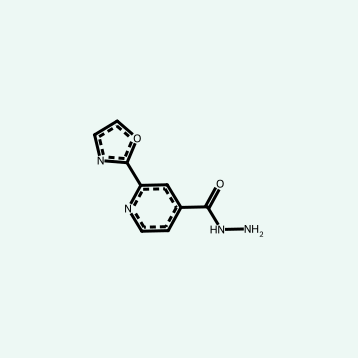 NNC(=O)c1ccnc(-c2ncco2)c1